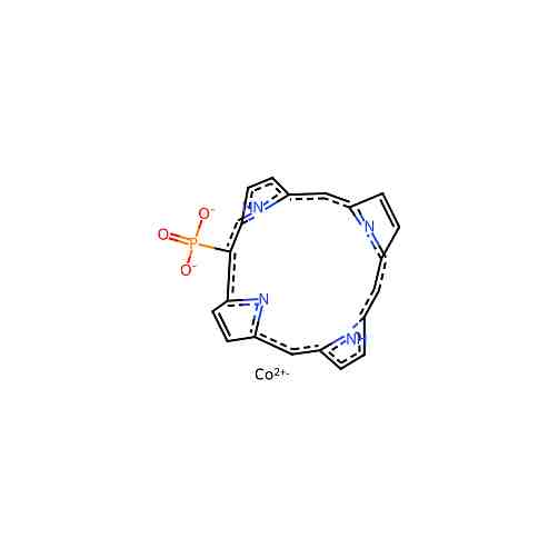 O=P([O-])([O-])c1c2nc(cc3ccc(cc4nc(cc5ccc1[nH]5)C=C4)[nH]3)C=C2.[Co+2]